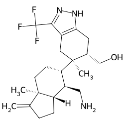 C=C1CC[C@H]2[C@H](CN)[C@@H]([C@@]3(C)Cc4c(C(F)(F)F)n[nH]c4C[C@@H]3CO)CC[C@]12C